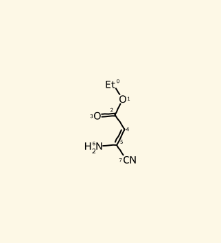 CCOC(=O)C=C(N)C#N